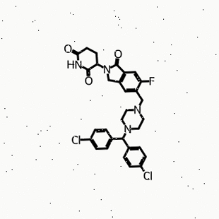 O=C1CCC(N2Cc3cc(CN4CCN(C(c5ccc(Cl)cc5)c5ccc(Cl)cc5)CC4)c(F)cc3C2=O)C(=O)N1